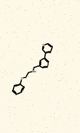 c1ccc(OCCNCc2cccc(-c3cccnc3)c2)cc1